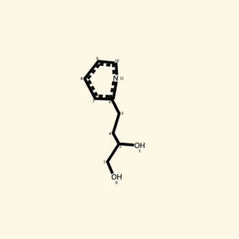 OCC(O)CCc1ccc[c]n1